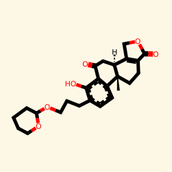 C[C@]12CCC3=C(COC3=O)[C@@H]1CC(=O)c1c2ccc(CCCOC2CCCCO2)c1O